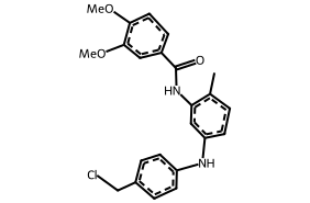 COc1ccc(C(=O)Nc2cc(Nc3ccc(CCl)cc3)ccc2C)cc1OC